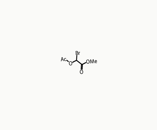 COC(=O)C(Br)OC(C)=O